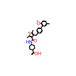 C=C(O)C1CCC(NC(=O)c2c(C)sc(C)c2Cc2ccc(-c3cc(C)ccc3OC)cc2)CC1